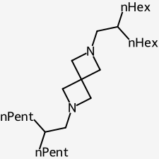 CCCCCCC(CCCCCC)CN1CC2(CN(CC(CCCCC)CCCCC)C2)C1